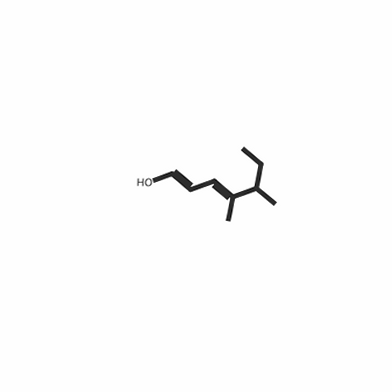 CCC(C)C(C)=CC=CO